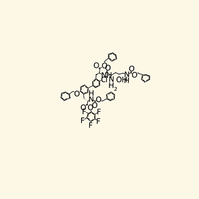 N[C@@H](C[C@@H](O)CNC(=O)OCc1ccccc1)C(=O)N[C@@H](Cc1cc(-c2ccc(OCc3ccccc3)c(C[C@H](NC(=O)OCc3ccccc3)C(=O)Oc3c(F)c(F)c(F)c(F)c3F)c2)ccc1Cl)C(=O)OCc1ccccc1